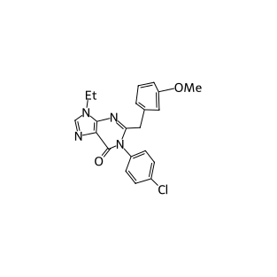 CCn1cnc2c(=O)n(-c3ccc(Cl)cc3)c(Cc3cccc(OC)c3)nc21